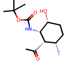 CC(=O)[C@@H]1[C@H](NC(=O)OC(C)(C)C)[C@H](O)CC[C@@H]1I